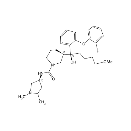 COCCCC[C@@](O)(c1ccccc1Oc1ccccc1F)[C@@H]1CCCN(C(=O)N[C@H]2CC(C)N(C)C2)C1